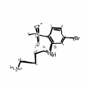 CS(=O)(=O)c1ccc(Br)cc1NCCCN